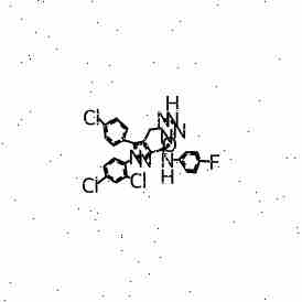 O=C(Nc1ccc(F)cc1)c1nn(-c2ccc(Cl)cc2Cl)c(-c2ccc(Cl)cc2)c1Cc1nn[nH]n1